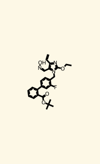 C=Cc1nc(OCC)n(Cc2ccc(-c3ccccc3C(=O)OC(C)(C)C)cc2F)c1/C=N\O